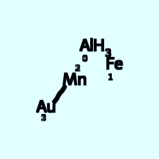 [AlH3].[Fe].[Mn][Au]